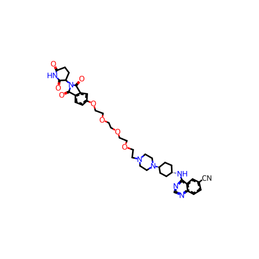 N#Cc1ccc2ncnc(N[C@H]3CC[C@H](N4CCN(CCOCCOCCOCCOc5ccc6c(c5)C(=O)N(C5CCC(=O)NC5=O)C6=O)CC4)CC3)c2c1